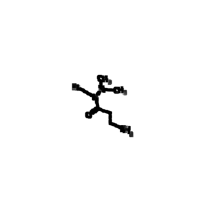 CCN(C(=O)CCN)N(C)C